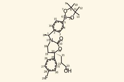 C[C@@H](c1ccc(B2OC(C)(C)C(C)(C)O2)cc1)N1CC[C@](CCCO)(c2ccc(F)cc2)OC1=O